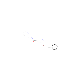 NC(CCC(=O)NCC1CCCN1)C(=O)OCc1ccccc1